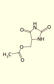 CC(=O)OCC1NC(=O)NC1=O